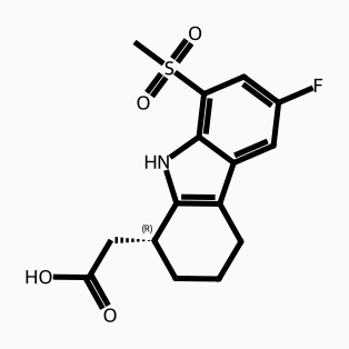 CS(=O)(=O)c1cc(F)cc2c3c([nH]c12)[C@@H](CC(=O)O)CCC3